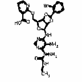 CCNC(=O)N(N)c1ncnc(NC2OC(COc3ncccc3C(=O)O)C3OC(c4ccccc4Br)OC23)c1N